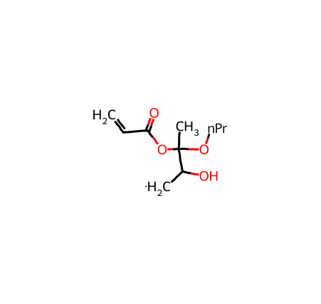 [CH2]C(O)C(C)(OCCC)OC(=O)C=C